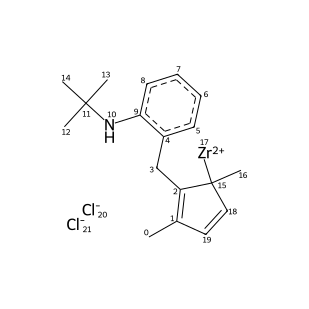 CC1=C(Cc2ccccc2NC(C)(C)C)[C](C)([Zr+2])C=C1.[Cl-].[Cl-]